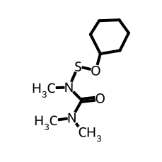 CN(C)C(=O)N(C)SOC1CCCCC1